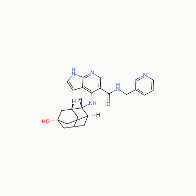 O=C(NCc1cccnc1)c1cnc2[nH]ccc2c1N[C@H]1[C@@H]2CC3C[C@H]1C[C@@](O)(C3)C2